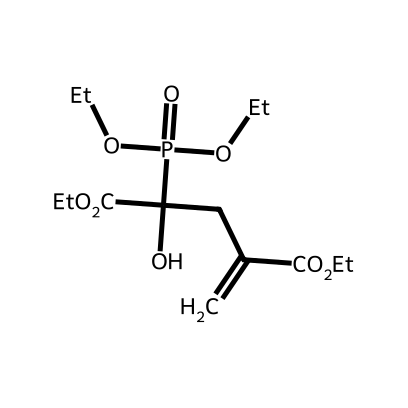 C=C(CC(O)(C(=O)OCC)P(=O)(OCC)OCC)C(=O)OCC